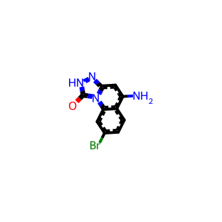 Nc1cc2n[nH]c(=O)n2c2cc(Br)ccc12